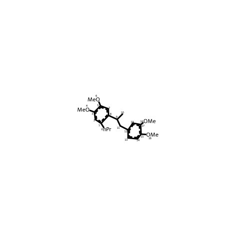 CCCc1cc(OC)c(OC)cc1C(C)Cc1ccc(OC)c(OC)c1